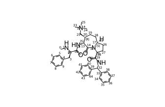 CN[C@H](Cc1ccccc1)C(=O)N[C@@H]1C(=O)N2[C@@H](CC[C@@H]1C[N+](C)(C)C)CC[C@H]2C(=O)NC(c1ccccc1)c1ccccc1